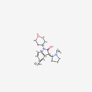 CN1CCC/C1=C1/C(=O)N(C2CCOCC2)c2ccc([N+](=O)[O-])cc21